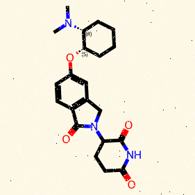 CN(C)[C@@H]1CCCC[C@@H]1Oc1ccc2c(c1)CN(C1CCC(=O)NC1=O)C2=O